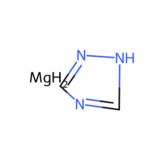 [MgH2].c1nc[nH]n1